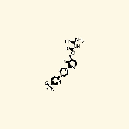 CS(=O)(=O)c1ccc(N2CCN(c3nccc(COC(=O)NC(=N)N)c3F)CC2)nc1